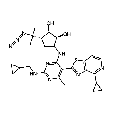 Cc1nc(NCC2CC2)nc(NC2C[C@H](C(C)(C)N=[N+]=[N-])[C@@H](O)[C@H]2O)c1-c1nc2c(C3CC3)nccc2s1